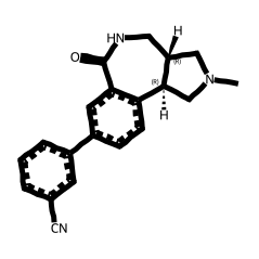 CN1C[C@H]2CNC(=O)c3cc(-c4cccc(C#N)c4)ccc3[C@@H]2C1